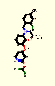 O[C@H](CN(Cc1ccc(C(F)(F)F)cc1F)c1cccc(Oc2ccnc(OC(F)F)c2)c1)C(F)(F)F